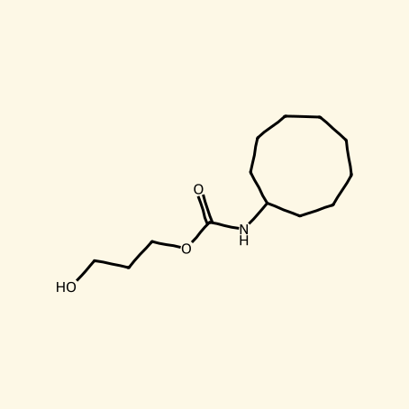 O=C(NC1CCCCCCCC1)OCCCO